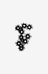 c1ccc(-c2cccc(-n3c4ccccc4c4cc(-c5ccc6c(c5)c5c(-c7ccccc7)cccc5n6-c5cccc6c5sc5ccccc56)ccc43)c2)cc1